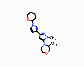 CC1COCCN1c1cc(-c2ccn(C3CCCCO3)n2)nn1C